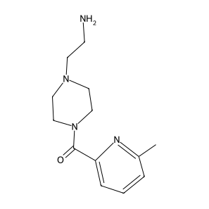 Cc1cccc(C(=O)N2CCN(CCN)CC2)n1